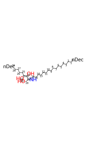 CCCCCCCCCCCCCCCCCCCCCCCCCCNC(CO)C(O)C(O)CCCCCCCCCCCCCC